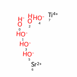 [OH-].[OH-].[OH-].[OH-].[OH-].[OH-].[Sr+2].[Ti+4]